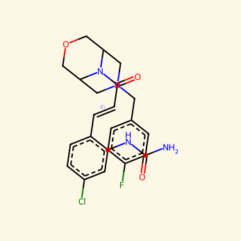 NC(=O)Nc1cc(Cl)ccc1/C=C/C(=O)N1C2COCC1CN(Cc1ccc(F)cc1)C2